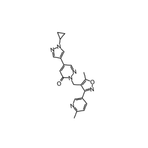 Cc1ccc(-c2noc(C)c2Cn2ncc(-c3cnn(C4CC4)c3)cc2=O)cn1